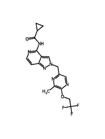 Cc1nc(Cn2cc3c(NC(=O)C4CC4)nccc3n2)cnc1OCC(F)(F)F